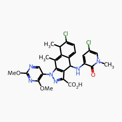 COc1ncc(-n2nc(C(=O)O)c3c2C(C)=C2C(=CC=C(Cl)C2C)C3Nc2cc(Cl)cn(C)c2=O)c(OC)n1